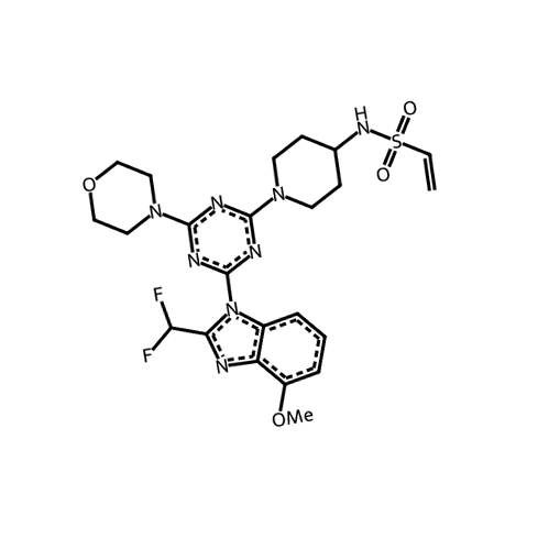 C=CS(=O)(=O)NC1CCN(c2nc(N3CCOCC3)nc(-n3c(C(F)F)nc4c(OC)cccc43)n2)CC1